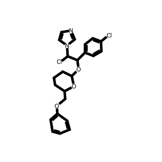 Clc1ccc(C(OC2CCCC(COc3ccccc3)O2)C(Cl)n2ccnc2)cc1